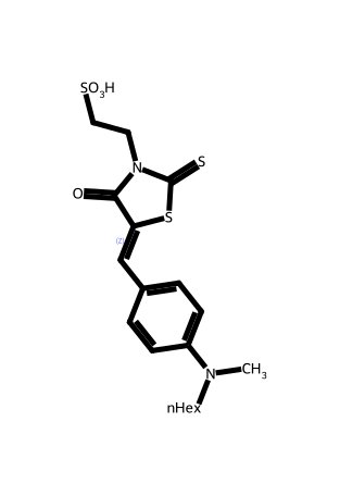 CCCCCCN(C)c1ccc(/C=C2\SC(=S)N(CCS(=O)(=O)O)C2=O)cc1